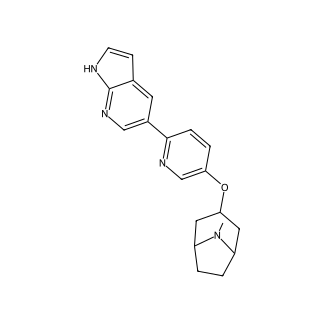 CN1C2CCC1CC(Oc1ccc(-c3cnc4[nH]ccc4c3)nc1)C2